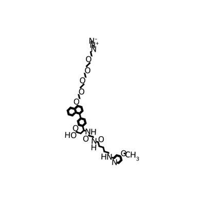 COc1ccnc(NCCCCC(=O)NCC(=O)NC(CC(=O)O)c2ccc(-c3ccc(OCCOCCOCCOCCOCCN=[N+]=[N-])c4ccccc34)cc2)c1